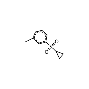 Cc1cccc(S(=O)(=O)C2CC2)c1